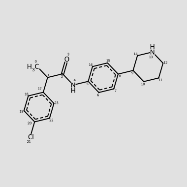 CC(C(=O)Nc1ccc(C2CCCNC2)cc1)c1ccc(Cl)cc1